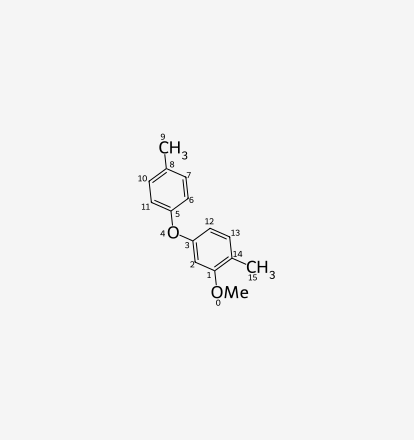 COc1cc(Oc2ccc(C)cc2)ccc1C